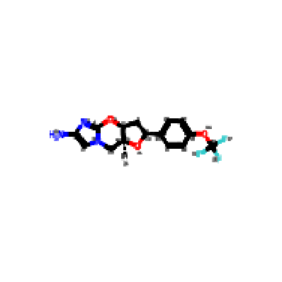 Nc1cn2c(n1)OC1C[C@@H](c3ccc(OC(F)(F)F)cc3)O[C@H]1C2